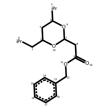 CC(C)CC1CC(C(C)C)OC(CC(=O)OCc2ccccc2)O1